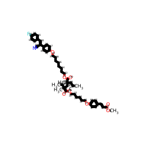 COC(=O)/C=C/c1ccc(OCCCCCCOC(=O)C(C)(CC(C)(CC(C)C)C(=O)OCCCCCCCCOc2ccc(/C(C#N)=C/c3ccc(F)cc3)cc2)C(C)C)cc1